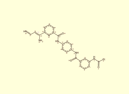 CCC(=O)Nc1cccc(C(=O)Nc2ccc(NC(=O)c3cccc(/C(N)=C/C=N)n3)cc2)c1